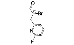 O=C[C@@H](Br)Cc1cccc(F)n1